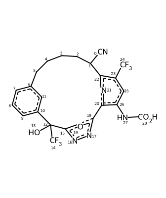 N#CC1CCCCc2cccc(c2)C(O)(C(F)(F)F)c2nnc(o2)-c2nc1c(C(F)(F)F)cc2NC(=O)O